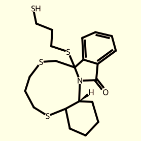 O=C1c2ccccc2C2(SCCCS)CSCCCSC3CCCC[C@H]3N12